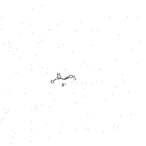 C=C[SiH2][O-].[K+]